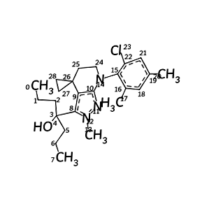 CCCC(O)(CCC)c1c2c(nn1C)N(c1c(C)cc(C)cc1Cl)CCC21CC1